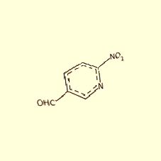 O=Cc1ccc([N+](=O)[O-])nc1